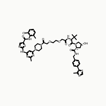 Cc1nc(Nc2ncc(C(=O)Nc3c(C)cccc3Cl)s2)cc(N2CCN(C(=O)COCCOCC(=O)N[C@H](C(=O)N3C[C@H](O)C[C@H]3C(=O)NCc3ccc(-c4scnc4C)cc3)C(C)(C)C)CC2)n1